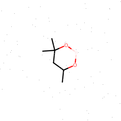 CC1CC(C)(C)O[B]O1